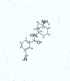 N#Cc1cccc(C(=O)NC23CCCC(N)(CC2)C3)c1